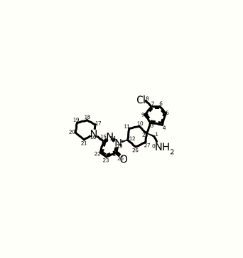 NC[C@]1(c2cccc(Cl)c2)CC[C@H](n2nc(N3CCCCC3)ccc2=O)CC1